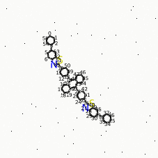 c1ccc(-c2ccc3nc(-c4ccc(-c5c6ccccc6c(-c6ccc(-c7nc8ccc(-c9ccccc9)cc8s7)cc6)c6ccccc56)cc4)sc3c2)cc1